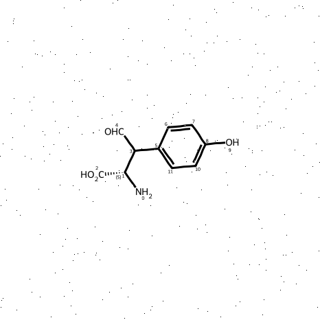 N[C@H](C(=O)O)C(C=O)c1ccc(O)cc1